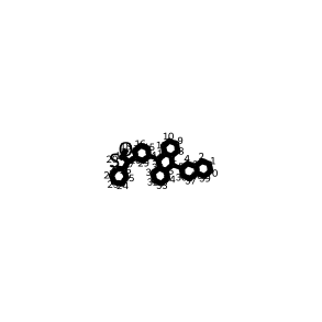 c1ccc2cc(-c3c4ccccc4c(-c4ccc5oc6sc7ccccc7c6c5c4)c4ccccc34)ccc2c1